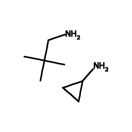 CC(C)(C)CN.NC1CC1